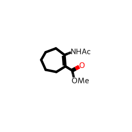 COC(=O)C1=C(NC(C)=O)CCCCC1